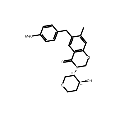 COc1ccc(Cc2cc3c(cc2C)OCN([C@H]2COCC[C@@H]2O)C3=O)cc1